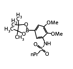 CCCS(=O)(=O)Nc1cc(B2OC(C)(C)C(C)(C)O2)cc(OC)c1OC